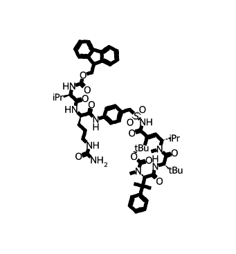 C/C(=C\[C@H](C(C)C)N(C)C(=O)[C@@H](NC(=O)[C@@H](N(C)C(=O)OC(C)(C)C)C(C)(C)c1ccccc1)C(C)(C)C)C(=O)NS(=O)(=O)Cc1ccc(NC(=O)[C@@H](CCCNC(N)=O)NC(=O)[C@H](NC(=O)OCC2c3ccccc3-c3ccccc32)C(C)C)cc1